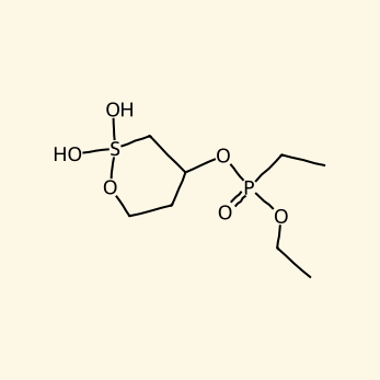 CCOP(=O)(CC)OC1CCOS(O)(O)C1